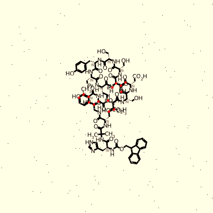 CC(C)C[C@H](NC(=O)[C@H](Cc1ccc(O)cc1)NC(=O)[C@H](CO)NC(=O)[C@H](CO)NC(=O)[C@@H](NC(=O)[C@H](CC(=O)O)NC(=O)[C@H](CO)NC(=O)[C@@H](NC(=O)[C@H](Cc1ccccc1)NC(=O)[C@@H](NC(=O)CNC(=O)[C@H](CCC(=O)O)NC(=O)C(C)(C)NC(=O)[C@H](Cc1c[nH]cn1)NC(=O)OCC1c2ccccc2-c2ccccc21)[C@@H](C)O)[C@@H](C)O)C(C)C)C(=O)N[C@@H](CCC(=O)O)C(=O)NCC(=O)S